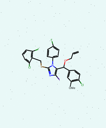 C=CCOC(c1ccc(Cl)c(OC)c1)c1c(I)nc(SCc2c(F)cccc2Cl)n1-c1ccc(F)cc1